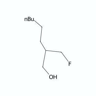 CCCCCCC(CO)CF